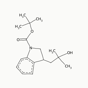 CC(C)(O)CC1CN(C(=O)OC(C)(C)C)c2ccccc21